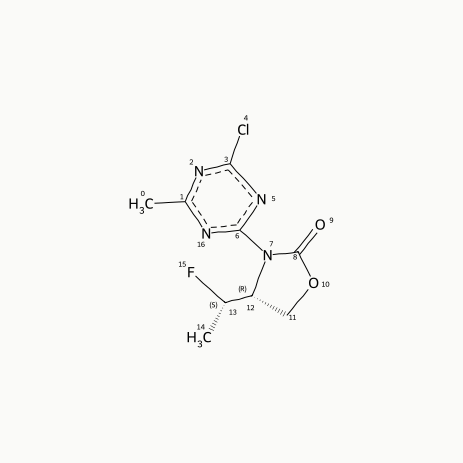 Cc1nc(Cl)nc(N2C(=O)OC[C@@H]2[C@H](C)F)n1